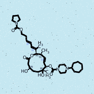 C/C(=C\C=C\CCOC(=O)N1CCCC1)[C@@H]1OC(=O)C[C@H](O)CC[C@@](C)(O)[C@H](OC(=O)N2CCN(C3CCCCCC3)CC2)/C=C/[C@@H]1C